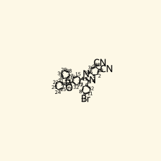 N#Cc1cc2nc(-c3ccc(Br)cc3)c(-c3ccc(P(=O)(c4ccccc4)c4ccccc4)cc3)nc2cc1C#N